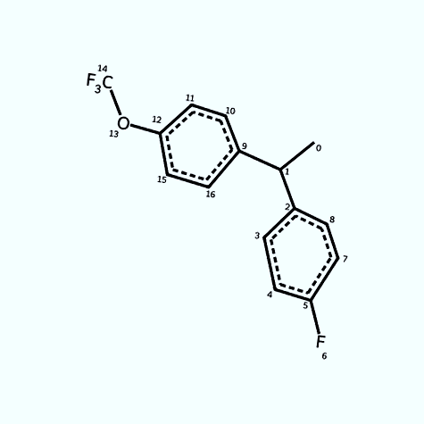 CC(c1ccc(F)cc1)c1ccc(OC(F)(F)F)cc1